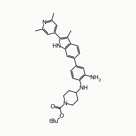 Cc1cc(-c2[nH]c3cc(-c4ccc(NC5CCN(C(=O)OC(C)(C)C)CC5)c(N)c4)ccc3c2C)cc(C)n1